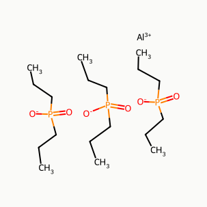 CCCP(=O)([O-])CCC.CCCP(=O)([O-])CCC.CCCP(=O)([O-])CCC.[Al+3]